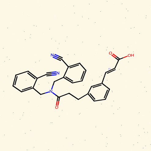 N#Cc1ccccc1CN(Cc1ccccc1C#N)C(=O)CCc1cccc(/C=C/C(=O)O)c1